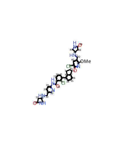 COc1nc(O[C@H]2CCc3c(-c4cccc(C(=O)Nc5ccc(CNC6CNC(=O)C6)cn5)c4Cl)cccc32)c(Cl)cc1CNC1CNC(=O)C1